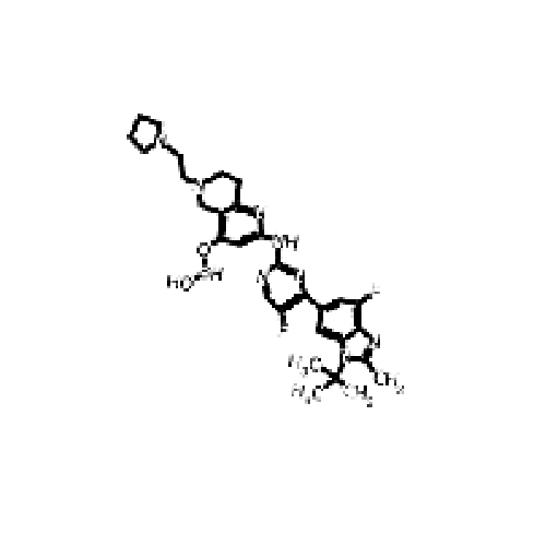 Cc1nc2c(F)cc(-c3nc(Nc4cc(OBO)c5c(n4)CCN(CCN4CCCC4)C5)ncc3F)cc2n1C(C)(C)C